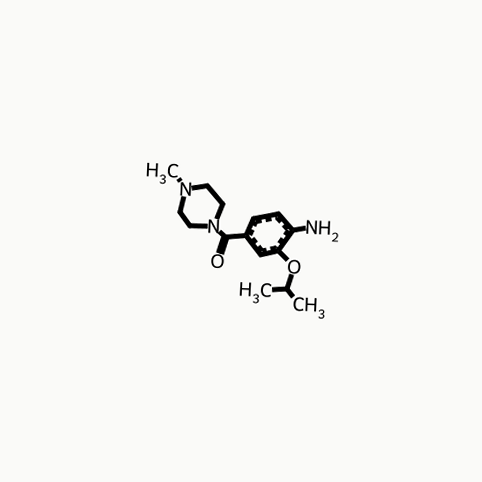 CC(C)Oc1cc(C(=O)N2CCN(C)CC2)ccc1N